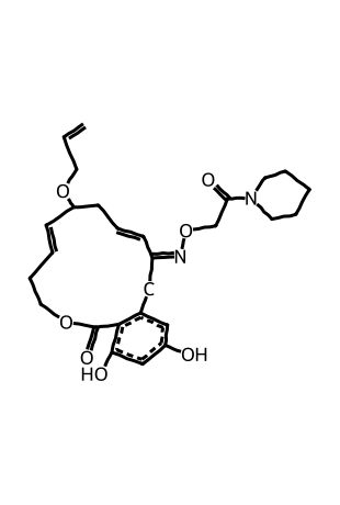 C=CCOC1/C=C/CCOC(=O)c2c(O)cc(O)cc2CC(=N/OCC(=O)N2CCCCC2)/C=C/C1